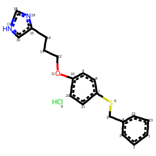 Cl.c1ccc(CSc2ccc(OCCCc3c[nH]cn3)cc2)cc1